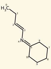 CCC=CN=C1CCCCC1